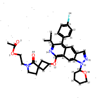 CC(=O)OCCN1CCC2(CC(Oc3nc(C(C)C)c(-c4ccc(F)cc4)c4cc5cnn(C6CCCCO6)c5cc34)C2)C1=O